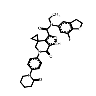 CCN(C(=O)c1n[nH]c2c1C1(CC1)CN(c1ccc(N3CCCCC3=O)cc1)C2=O)c1cc(F)c2c(c1)CCO2